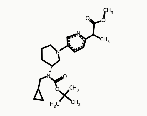 COC(=O)C(C)c1ccc(N2CCC[C@@H](N(CC3CC3)C(=O)OC(C)(C)C)C2)cn1